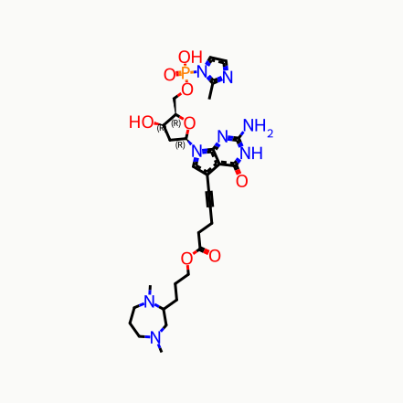 Cc1nccn1P(=O)(O)OC[C@H]1O[C@@H](n2cc(C#CCCC(=O)OCCCC3CN(C)CCCN3C)c3c(=O)[nH]c(N)nc32)C[C@H]1O